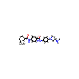 COC1CCCC(C(=O)Nc2ccc(C(=O)Nc3ccc(N4CCC(N(C)C)C4)cc3)cc2)C1